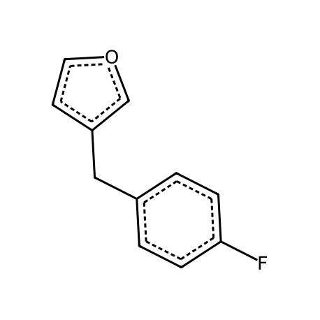 Fc1ccc(Cc2ccoc2)cc1